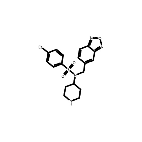 CCc1ccc(S(=O)(=O)N(Cc2ccc3nonc3c2)C2CCNCC2)cc1